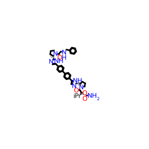 CC(C)[C@H](OC(N)=O)C(=O)N1CCC[C@H]1c1ncc(-c2ccc(-c3ccc(-c4cnc([C@@H]5CCCN5C(=O)CNCc5ccccc5)[nH]4)cc3)cc2)[nH]1